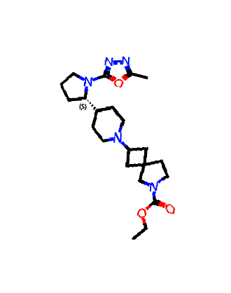 CCOC(=O)N1CCC2(CC(N3CCC([C@@H]4CCCN4c4nnc(C)o4)CC3)C2)C1